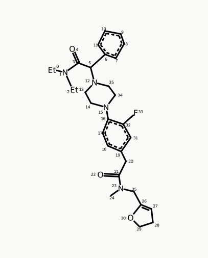 CCN(CC)C(=O)C(c1ccccc1)N1CCN(c2ccc(CC(=O)N(C)CC3=CCCO3)cc2F)CC1